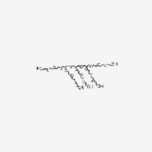 OCCOCCOCCOCC(COCC(COCC(COCCOCCOCCO)OCCOCCOCCO)OCCOCCOCCO)OCCOCCOCCO